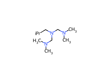 CC(C)CN(CN(C)C)CN(C)C